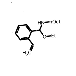 C=Cc1ccccc1C(NCCCCCCCC)OCC